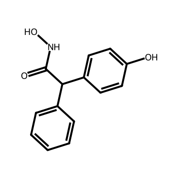 O=C(NO)C(c1ccccc1)c1ccc(O)cc1